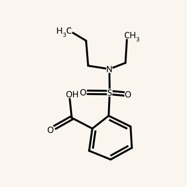 CCCN(CC)S(=O)(=O)c1ccccc1C(=O)O